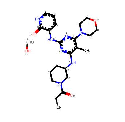 Cc1c(N[C@@H]2CCCN(C(=O)CC#N)C2)nc(Nc2ccc[nH]c2=O)nc1N1CCOCC1.O=CO